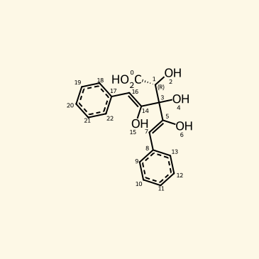 O=C(O)[C@H](O)C(O)(C(O)=Cc1ccccc1)C(O)=Cc1ccccc1